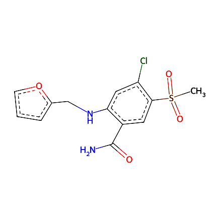 CS(=O)(=O)c1cc(C(N)=O)c(NCc2ccco2)cc1Cl